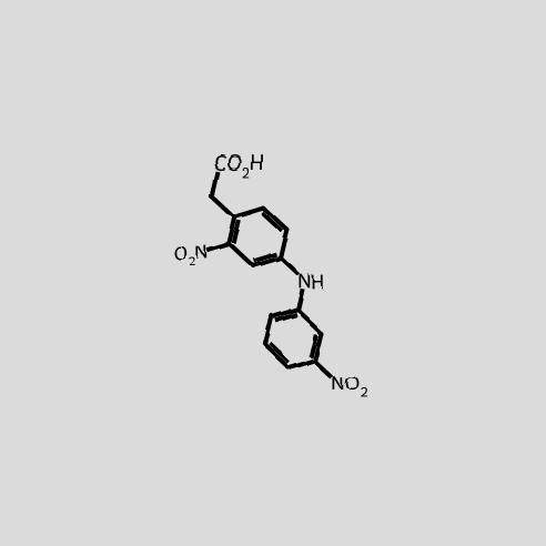 O=C(O)Cc1ccc(Nc2cccc([N+](=O)[O-])c2)cc1[N+](=O)[O-]